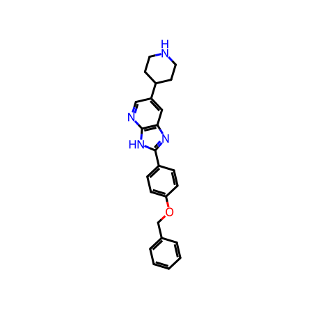 c1ccc(COc2ccc(-c3nc4cc(C5CCNCC5)cnc4[nH]3)cc2)cc1